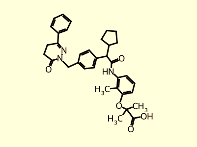 Cc1c(NC(=O)C(c2ccc(CN3N=C(c4ccccc4)CCC3=O)cc2)C2CCCC2)cccc1OC(C)(C)C(=O)O